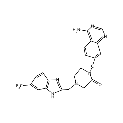 Nc1ncnc2cc(CN3CCN(Cc4nc5ccc(C(F)(F)F)cc5[nH]4)CC3=O)ccc12